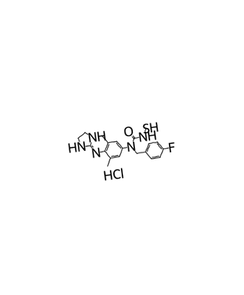 Cc1cc(N(Cc2ccc(F)cc2)C(=O)NS)cc(C)c1N=C1NCCN1.Cl